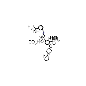 Cl.Cl.N=C(N)c1cccc(/C=C/CN(c2ccc(OC3CCN(C4=NCCCC4)CC3)c(C(N)=O)c2)S(=O)(=O)CC(=O)O)c1